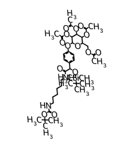 CC(=O)OCC1OC(Oc2ccc(C(O[Si](C)(C)C(C)(C)C)C(=O)NCCCCCCNC(=O)OC(C)(C)C)cc2)C(OC(C)=O)C(OC(C)=O)C1OC(C)=O